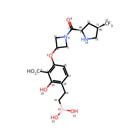 O=C(O)c1c(OC2CN(C(=O)[C@H]3C[C@@H](C(F)(F)F)CN3)C2)ccc(CCB(O)O)c1O